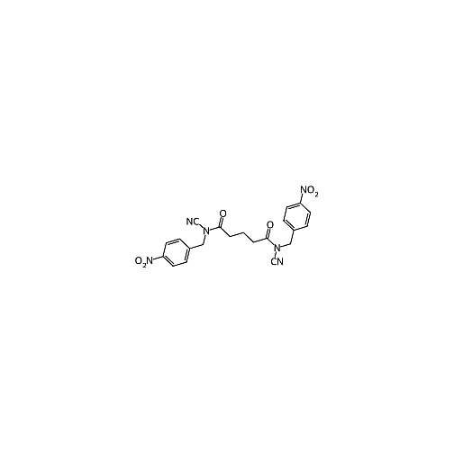 N#CN(Cc1ccc([N+](=O)[O-])cc1)C(=O)CCCC(=O)N(C#N)Cc1ccc([N+](=O)[O-])cc1